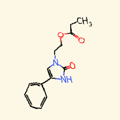 CCC(=O)OCCn1cc(-c2ccccc2)[nH]c1=O